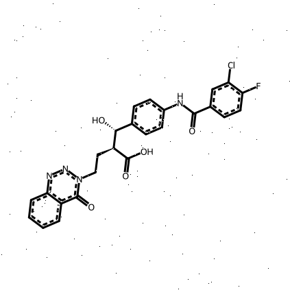 O=C(Nc1ccc([C@@H](O)[C@H](CCn2nnc3ccccc3c2=O)C(=O)O)cc1)c1ccc(F)c(Cl)c1